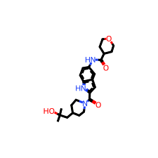 CC(C)(O)CC1CCN(C(=O)c2cc3cc(NC(=O)C4CCOCC4)ccc3[nH]2)CC1